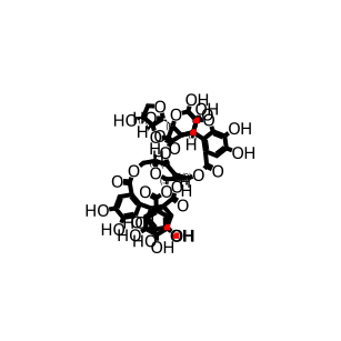 O=C(O[C@@H]1O[C@@H]2COC(=O)c3cc(O)c(O)c(O)c3-c3c(cc(O)c(O)c3O)C(=O)O[C@@H]3[C@H]1OC(=O)c1cc(O)c(O)c4c1[C@@H]1C5(CC(=O)C(O)(O[C@]56C(=O)O[C@@H]5[C@@H](O)COC56O)[C@]1(O)O4)C(=O)O[C@@H]32)c1cc(O)c(O)c(O)c1